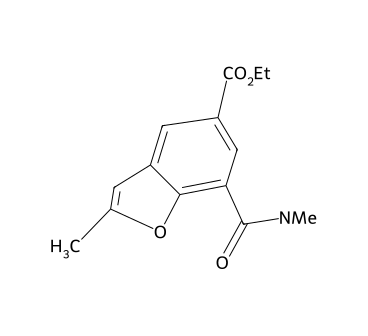 CCOC(=O)c1cc(C(=O)NC)c2oc(C)cc2c1